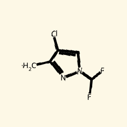 [CH2]c1nn(C(F)F)cc1Cl